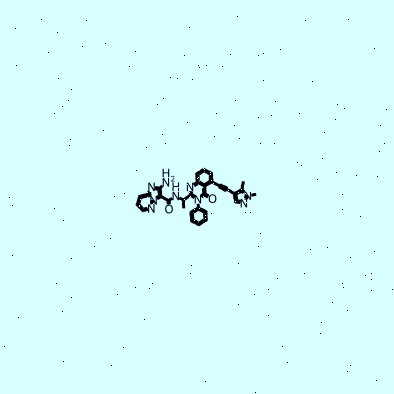 Cc1c(C#Cc2cccc3nc(C(C)NC(=O)c4c(N)nc5cccnn45)n(-c4ccccc4)c(=O)c23)cnn1C